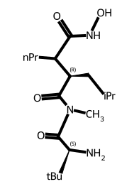 CCCC(C(=O)NO)[C@@H](CC(C)C)C(=O)N(C)C(=O)[C@@H](N)C(C)(C)C